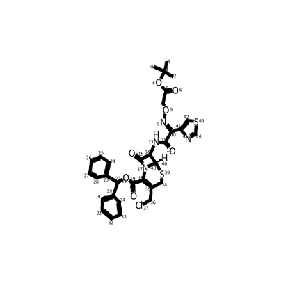 CC(C)(C)OC(=O)CON=C(C(=O)NC1C(=O)N2C(C(=O)OC(c3ccccc3)c3ccccc3)=C(CCl)CS[C@@H]12)c1cscn1